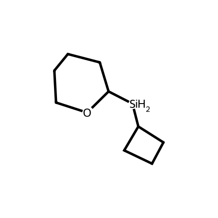 C1CCC([SiH2]C2CCC2)OC1